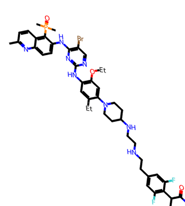 CCOc1cc(N2CCC(NCCNCCc3cc(F)c(C4CCC(=O)NC4=O)c(F)c3)CC2)c(CC)cc1Nc1ncc(Br)c(Nc2ccc3nc(C)ccc3c2P(C)(C)=O)n1